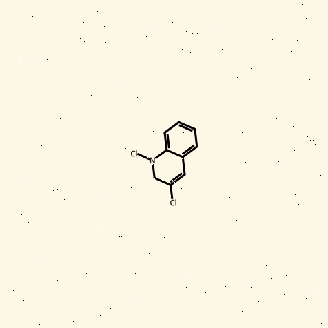 ClC1=Cc2ccccc2N(Cl)C1